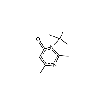 Cc1cc(=O)n(C(C)(C)C)c(C)n1